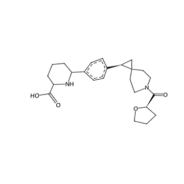 O=C(O)C1CCCC(c2ccc([C@H]3CC34CCN(C(=O)[C@H]3CCCO3)CC4)cc2)N1